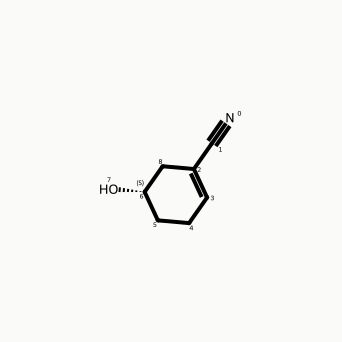 N#CC1=CCC[C@H](O)C1